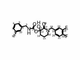 O=C(NCc1cccc(F)c1)OC1(O)CCCN(Cc2ccc(F)c(F)c2)C1=O